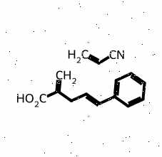 C=C(CC=Cc1ccccc1)C(=O)O.C=CC#N